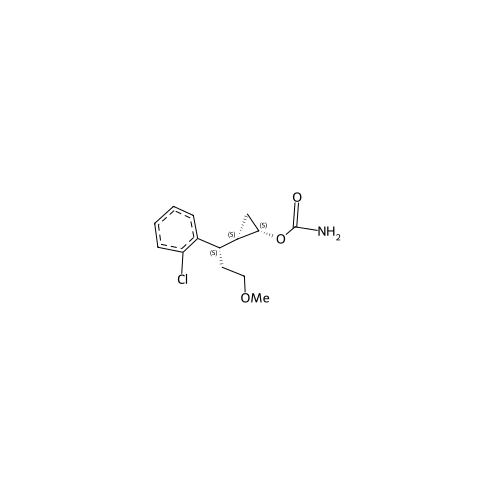 COCC[C@H](c1ccccc1Cl)[C@@H]1C[C@@H]1OC(N)=O